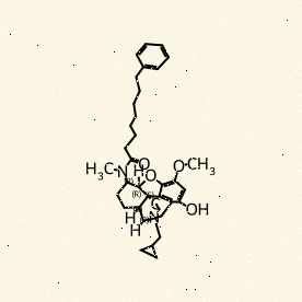 COc1cc(O)c2c3c1O[C@H]1[C@H](N(C)C(=O)CCCCCCCc4ccccc4)CC[C@H]4[C@@H](C2)N(CC2CC2)CC[C@@]341